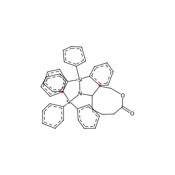 O=C1CCCC(N([Si](c2ccccc2)(c2ccccc2)c2ccccc2)[Si](c2ccccc2)(c2ccccc2)c2ccccc2)CCO1